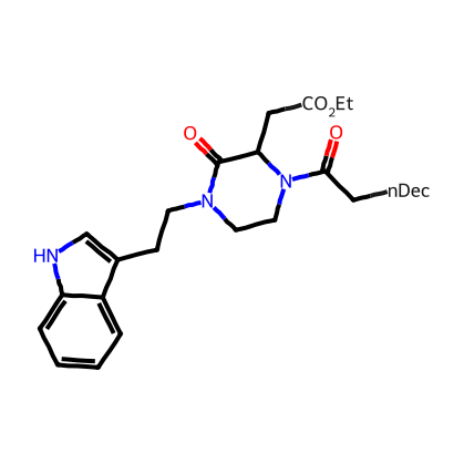 CCCCCCCCCCCC(=O)N1CCN(CCc2c[nH]c3ccccc23)C(=O)C1CC(=O)OCC